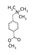 COC(=O)c1ccc(C[N+](C)(C)C)cc1